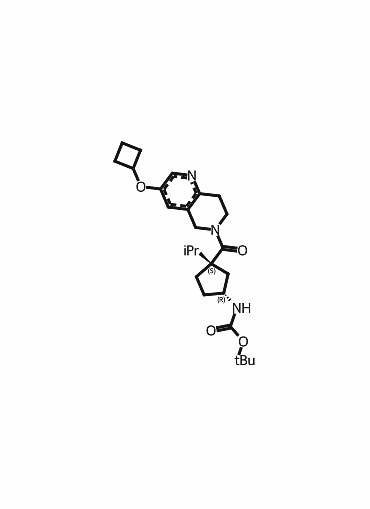 CC(C)[C@]1(C(=O)N2CCc3ncc(OC4CCC4)cc3C2)CC[C@@H](NC(=O)OC(C)(C)C)C1